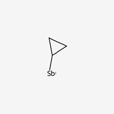 [Sb][CH]1CC1